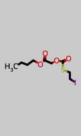 CCCCOC(=O)COC(=O)SCCI